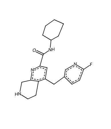 O=C(NC1CCCCC1)c1cc(Cc2ccc(F)nc2)c2c(n1)CNCC2